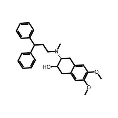 COc1cc2c(cc1OC)C[C@@H](N(C)CCC(c1ccccc1)c1ccccc1)[C@H](O)C2